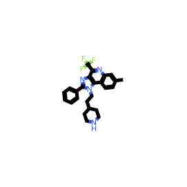 Cc1ccc2c(c1)nc(C(F)(F)F)c1nc(-c3ccccc3)n(CCC3CCNCC3)c12